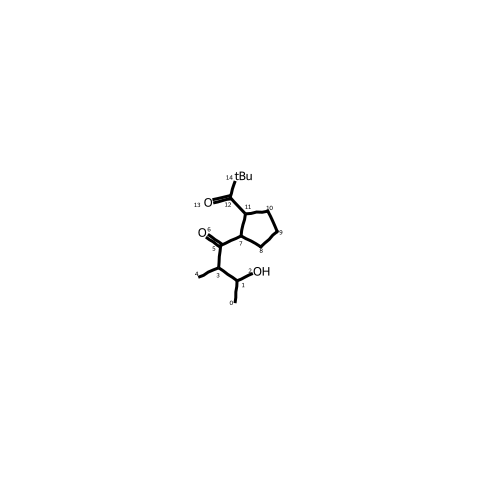 CC(O)C(C)C(=O)C1CCCC1C(=O)C(C)(C)C